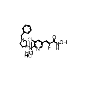 Cl.Cl.O=C(NO)C(F)=Cc1cnc(N[C@@H]2CCN(Cc3ccccc3)C2)c(Cl)c1